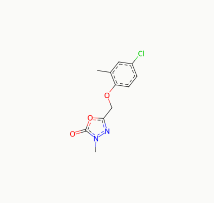 Cc1cc(Cl)ccc1OCc1nn(C)c(=O)o1